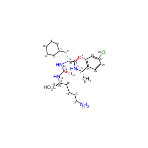 C[C@H](NC(=O)[C@@H](CC1CCCCC1)NC(=O)N[C@@H](CCCCN)C(=O)O)c1ccc(Cl)cc1